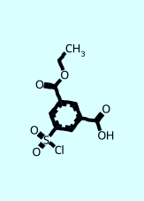 CCOC(=O)c1cc(C(=O)O)cc(S(=O)(=O)Cl)c1